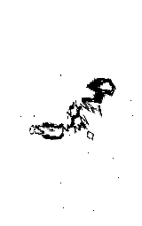 [O-][S+]1CCN(c2nc(Cl)nc3c(NCCc4ccccc4)ncnc23)CC1